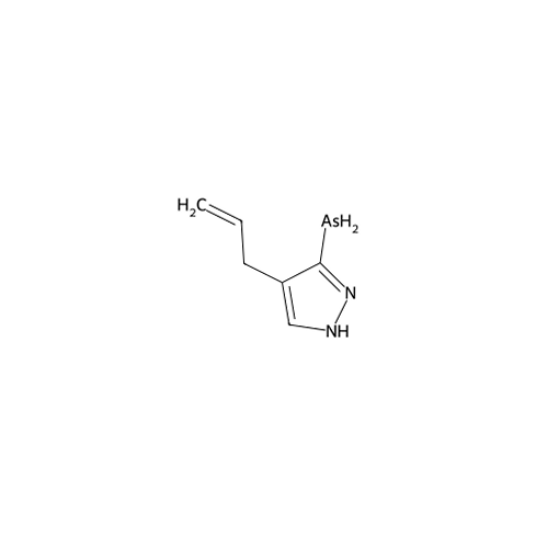 C=CCc1c[nH]nc1[AsH2]